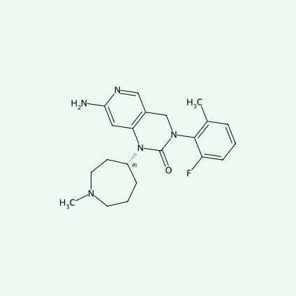 Cc1cccc(F)c1N1Cc2cnc(N)cc2N([C@@H]2CCCN(C)CC2)C1=O